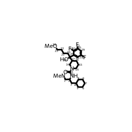 CNCC(CC1CCCCC1)NC(=O)N1CCCC(C(O)(CCCCOC)c2cc(F)cc(F)c2F)C1